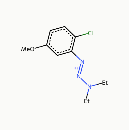 CCN(CC)/N=N/c1cc(OC)ccc1Cl